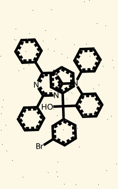 OC(c1ccccc1)(c1cccc(Br)c1)c1ccccc1N(c1ccccc1)c1nc(-c2ccccc2)nc(-c2ccccc2)n1